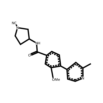 COc1cc(C(=O)NC2CCN(C#N)C2)ccc1-c1ccnc(C)c1